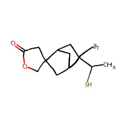 CC(C)C1(C(C)S)CC2CC1CC21COC(=O)C1